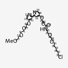 COCCOCCOCCOc1ccnc(-c2cc(OCCOC(=O)NCCOCCOCCCCCCCl)ccn2)c1